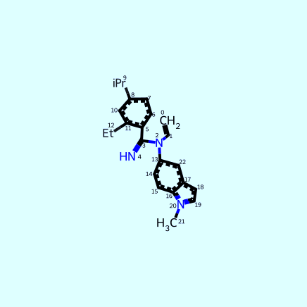 C=CN(C(=N)c1ccc(C(C)C)cc1CC)c1ccc2c(ccn2C)c1